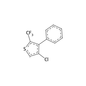 FC(F)(F)c1s[c]c(Cl)c1-c1ccccc1